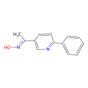 CC(=NO)c1ccc(-c2ccccc2)nc1